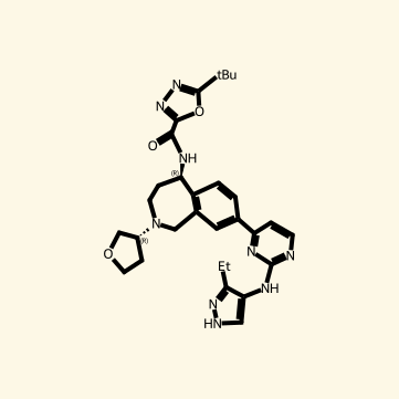 CCc1n[nH]cc1Nc1nccc(-c2ccc3c(c2)CN([C@@H]2CCOC2)CC[C@H]3NC(=O)c2nnc(C(C)(C)C)o2)n1